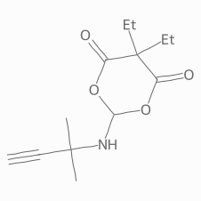 C#CC(C)(C)NC1OC(=O)C(CC)(CC)C(=O)O1